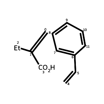 C=C(CC)C(=O)O.C=Cc1ccccc1